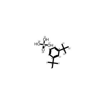 CC(C)(C)c1cccc(C(C)(C)C)c1.O=P(O)(O)O